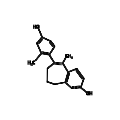 CC1=C(c2ccc(O)cc2C)CCCc2cc(O)ccc21